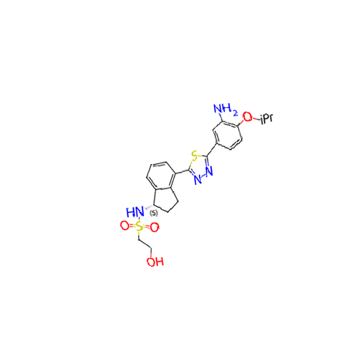 CC(C)Oc1ccc(-c2nnc(-c3cccc4c3CC[C@@H]4NS(=O)(=O)CCO)s2)cc1N